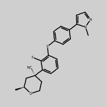 C[C@H]1C[C@@](C#N)(c2cccc(Sc3ccc(-c4ccnn4C)cc3)c2F)CCO1